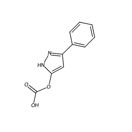 O=C(O)Oc1cc(-c2ccccc2)n[nH]1